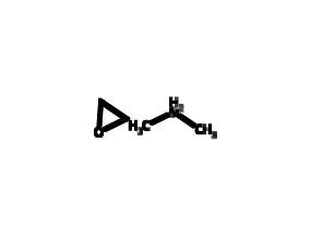 C1CO1.C[SiH2]C